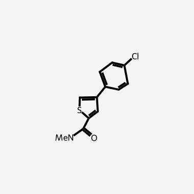 CNC(=O)c1cc(-c2ccc(Cl)cc2)cs1